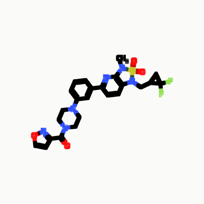 CN1c2nc(-c3cccc(N4CCN(C(=O)c5ccon5)CC4)c3)ccc2N(CC2CC2(F)F)S1(=O)=O